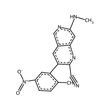 CNc1cc2nc(C#N)c(-c3cc([N+](=O)[O-])ccc3C)cc2cn1